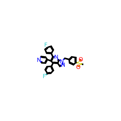 CS(=O)(=O)c1ccc(Cn2ncc3c(-c4ccc(F)cc4)c(-c4ccncc4)c(-c4ccc(F)cc4)nc32)cc1